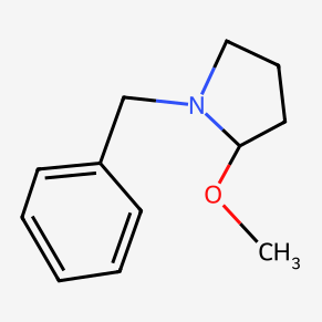 COC1CCCN1Cc1ccccc1